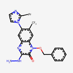 CC(C)c1nccn1-c1cc2nc(NN)c(=O)n(OCc3ccccc3)c2cc1C(F)(F)F